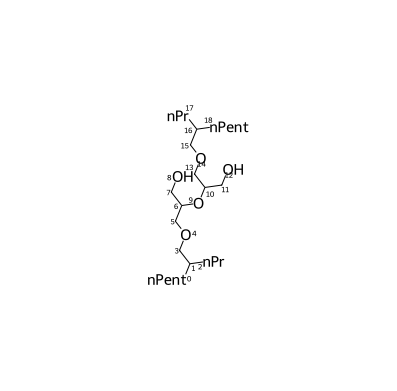 CCCCCC(CCC)COCC(CO)OC(CO)COCC(CCC)CCCCC